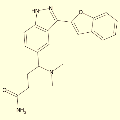 CN(C)C(CCC(N)=O)c1ccc2[nH]nc(-c3cc4ccccc4o3)c2c1